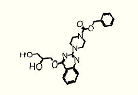 O=C(OCc1ccccc1)N1CCN(c2nc(OCC(O)CO)c3ccccc3n2)CC1